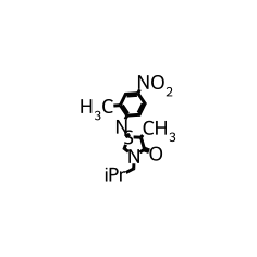 Cc1cc([N+](=O)[O-])ccc1/N=S1/CN(CC(C)C)C(=O)C1C